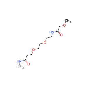 CNC(=O)CCOCCOCCNC(=O)COC